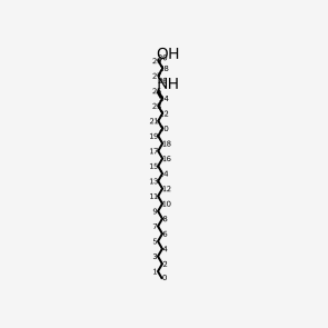 CCCCCCCCCCCCCCCCCCCCCCCCC=CNCCCO